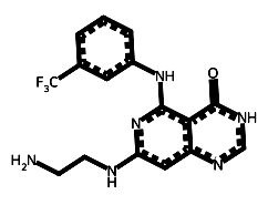 NCCNc1cc2nc[nH]c(=O)c2c(Nc2cccc(C(F)(F)F)c2)n1